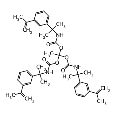 C=C(C)c1cccc(C(C)(C)NC(=O)OC(C)(OC(=O)NC(C)(C)c2cccc(C(=C)C)c2)OC(=O)NC(C)(C)c2cccc(C(=C)C)c2)c1